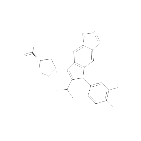 CC(C)c1c([C@@H]2CO[C@@H](C(=O)O)C2)c2cc3[nH]ncc3cc2n1-c1ccc(F)c(F)c1